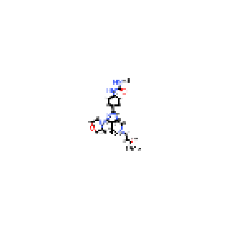 CCNC(=O)Nc1ccc(-c2nc3c(c(N4CCOCC4C)n2)CCN(CCC(=O)OC)C3)cc1